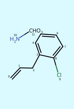 C=CCc1ccccc1Cl.NC=O